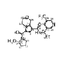 CC[C@@H](NC(=O)c1cc(C(=O)N2CCC[C@@H]2C)n2c1COCC2)c1cncc(C(F)(F)F)c1